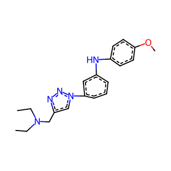 CCN(CC)Cc1cn(-c2cccc(Nc3ccc(OC)cc3)c2)nn1